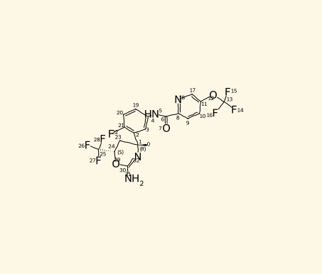 C[C@]1(c2cc(NC(=O)c3ccc(OC(F)(F)F)cn3)ccc2F)C[C@@H](C(F)(F)F)OC(N)=N1